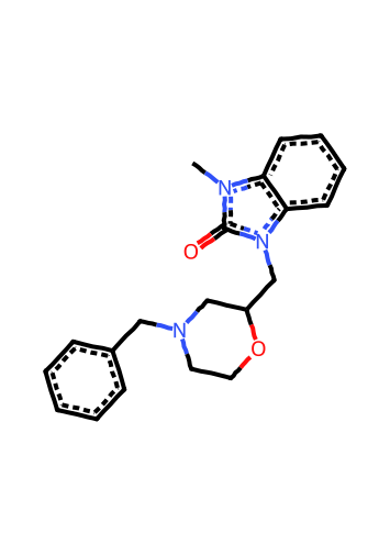 Cn1c(=O)n(CC2CN(Cc3ccccc3)CCO2)c2ccccc21